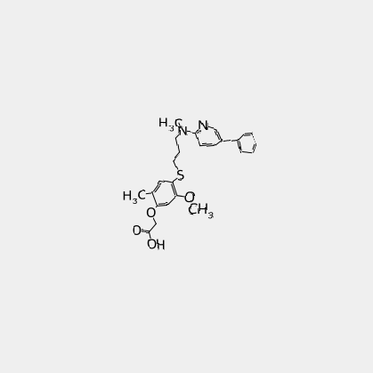 COc1cc(OCC(=O)O)c(C)cc1SCCCN(C)c1ccc(-c2ccccc2)cn1